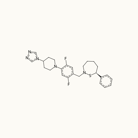 Fc1cc(N2CCC(n3cnnc3)CC2)c(F)cc1CN1CCCC[C@@H](c2ccccc2)S1